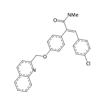 CNC(=O)/C(=C/c1ccc(Cl)cc1)c1ccc(OCc2ccc3ccccc3n2)cc1